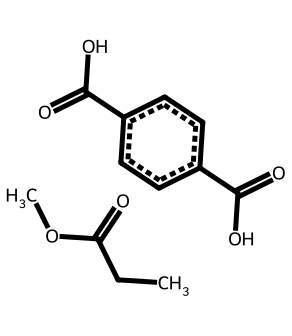 CCC(=O)OC.O=C(O)c1ccc(C(=O)O)cc1